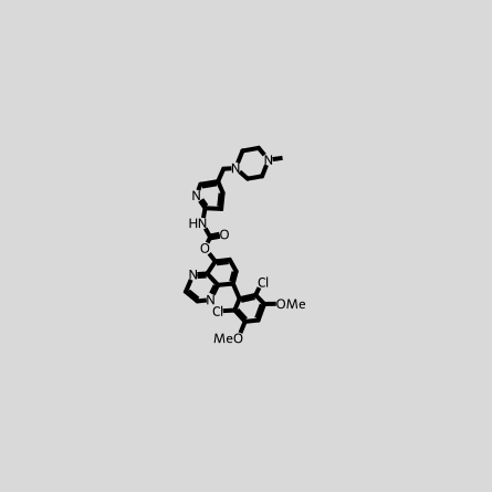 COc1cc(OC)c(Cl)c(-c2ccc(OC(=O)Nc3ccc(CN4CCN(C)CC4)cn3)c3nccnc23)c1Cl